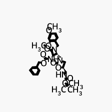 COc1ccc(CN2C(=O)[C@@H](NC(=O)OCc3ccccc3)[C@H]2CN2C[C@@H](CNC(=O)OC(C)(C)C)OC2=O)c(OC)c1